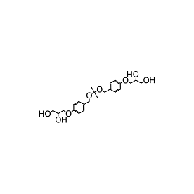 CC(C)(OCc1ccc(OCC(O)CO)cc1)OCc1ccc(OCC(O)CO)cc1